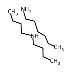 CCCCCCN.CCCCNCCCC